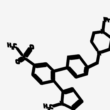 CC(C)N1CCN(Cc2ccc(-c3cc(S(C)(=O)=O)ccc3-c3cccn3C)cc2)CC1